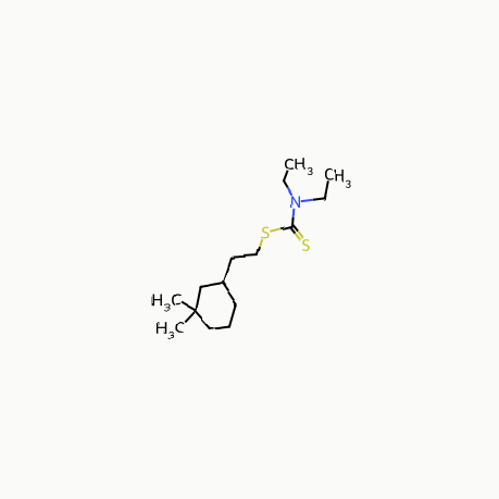 CCN(CC)C(=S)SCCC1CCCC(C)(C)C1